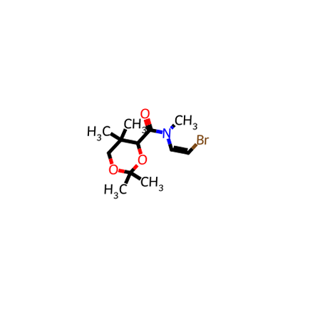 CN(/C=C\Br)C(=O)C1OC(C)(C)OCC1(C)C